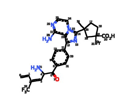 C=C/C(=C\C(N)C(=O)c1ccc(-c2nc(C3(C)CCC(C(=O)O)(C(C)C)C3)n3ccnc(N)c23)cc1)C(F)(F)F